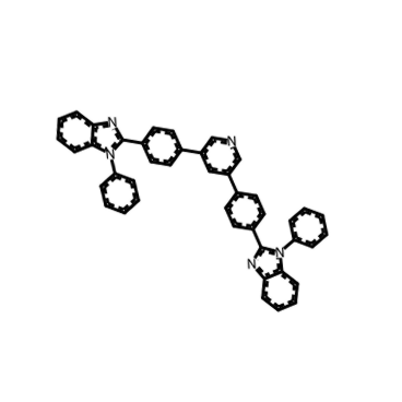 c1ccc(-n2c(-c3ccc(-c4cncc(-c5ccc(-c6nc7ccccc7n6-c6ccccc6)cc5)c4)cc3)nc3ccccc32)cc1